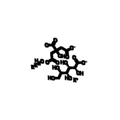 O.O=C([O-])CC(O)(CC(=O)[O-])C(=O)[O-].O=C([O-])[C@H](O)[C@@H](O)[C@H](O)[C@H](O)CO.[K+].[K+].[K+].[K+]